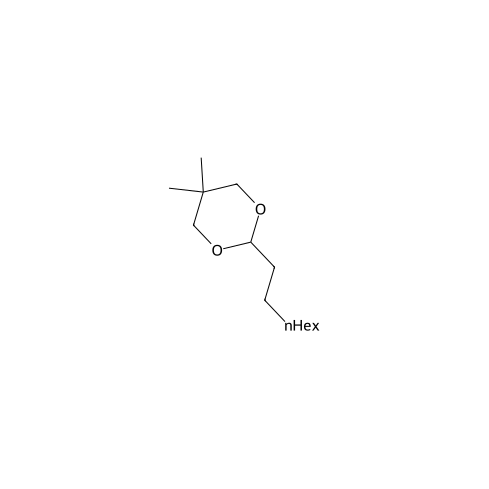 CCCCCCCCC1OCC(C)(C)CO1